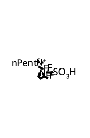 CCCCC[N+](C)(C)CC[N+]1(C(F)(F)C(F)(F)S(=O)(=O)O)CCCC1C